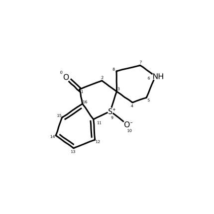 O=C1CC2(CCNCC2)[S+]([O-])c2ccccc21